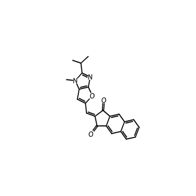 CC(C)c1nc2oc(C=C3C(=O)c4cc5ccccc5cc4C3=O)cc2n1C